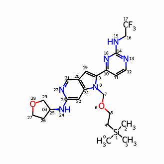 C[Si](C)(C)CCOCn1c(-c2ccnc(NCC(F)(F)F)n2)cc2cnc(N[C@H]3CCOC3)cc21